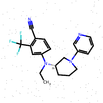 CCN(c1ccc(C#N)c(C(F)(F)F)c1)[C@H]1CCCN(c2cccnc2)C1